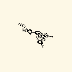 CC(NC(=O)c1cc(C#N)cnc1NCc1ccc(-c2ccc(NCCO)nc2)cc1)c1ccc(F)cc1